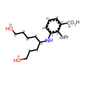 CCCc1c(NC(CCCO)CCCCO)cccc1C(=O)O